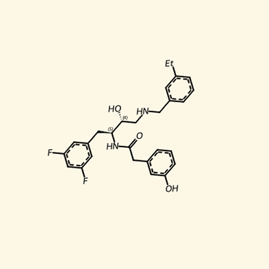 CCc1cccc(CNC[C@@H](O)[C@H](Cc2cc(F)cc(F)c2)NC(=O)Cc2cccc(O)c2)c1